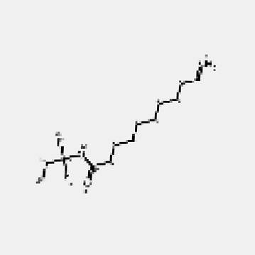 C=CCCCCCCCCC(=O)OC(F)(F)CF